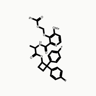 COc1ccnc(C(=O)NC(C)C(=O)OC2CCC2(c2ccc(F)cc2)c2ccc(F)cc2)c1OCOC(=O)C(C)C